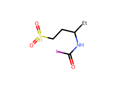 CCC(CC[SH](=O)=O)NC(=O)I